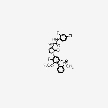 CP(C)(=O)c1ccccc1-c1ccc(N2CC[C@@H](NC(=O)Nc3ccc(Cl)cc3F)C2=O)c(F)c1OC(F)(F)F